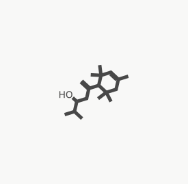 C=C(CC(O)C(C)C)C1C(C)(C)C=C(C)CC1(C)C